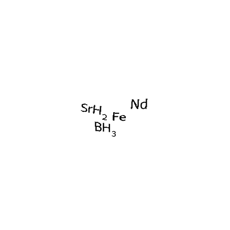 B.[Fe].[Nd].[SrH2]